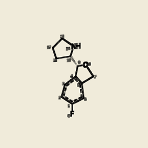 Fc1ccc2c(c1)CO[C@H]2C1CCCN1